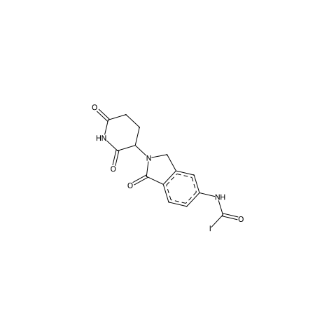 O=C(I)Nc1ccc2c(c1)CN(C1CCC(=O)NC1=O)C2=O